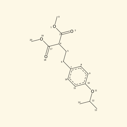 COC(=O)C(CCc1ccc(OC(C)C)cc1)C(=O)OC